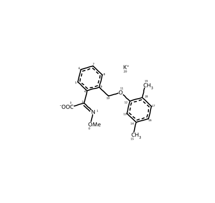 CON=C(C(=O)[O-])c1ccccc1COc1cc(C)ccc1C.[K+]